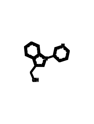 OCc1cn(-c2cccnc2)c2ccccc12